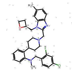 Cc1ccc2nc(CN3CCC(c4ccccc4N(C)Cc4ccc(Cl)cc4F)CC3)n(C[C@@H]3CCO3)c2c1